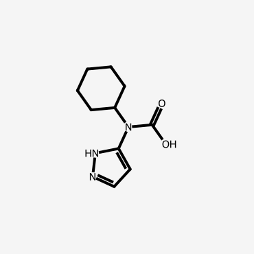 O=C(O)N(c1ccn[nH]1)C1CCCCC1